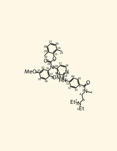 CCN(CC)CCN(C)C(=O)c1ccc(Nc2nccc(N(C(=O)Oc3c(C)cccc3C)c3cc(OC)ccc3OC)n2)cc1